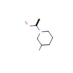 C=C(OC(C)(C)C)N1CCCC(C(=O)O)C1